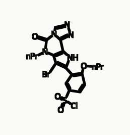 CCCOc1ccc(S(=O)(=O)Cl)cc1-c1[nH]c2c(c1Br)n(CCC)c(=O)n1cnnc21